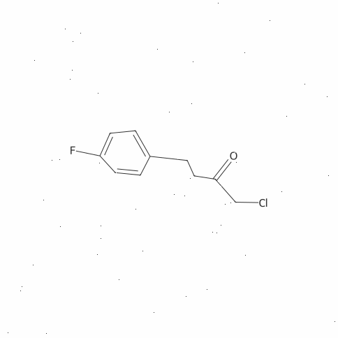 O=C(CCl)CCc1ccc(F)cc1